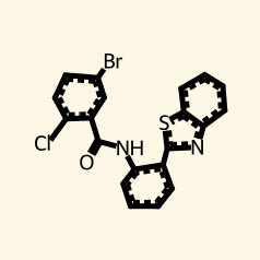 O=C(Nc1ccccc1-c1nc2ccccc2s1)c1cc(Br)ccc1Cl